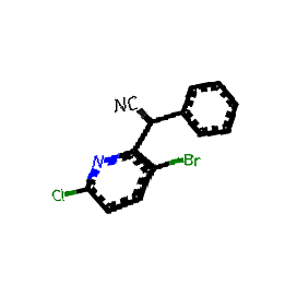 N#CC(c1ccccc1)c1nc(Cl)ccc1Br